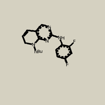 CCCCN1CC=Cc2cnc(Nc3ccc(F)cc3F)nc21